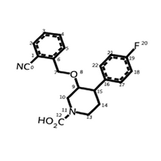 N#Cc1ccccc1COC1CN(C(=O)O)CCC1c1ccc(F)cc1